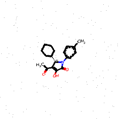 CC(=O)C1=C(O)C(=O)N(c2ccc(C)cc2)[C@H]1C1CCCCC1